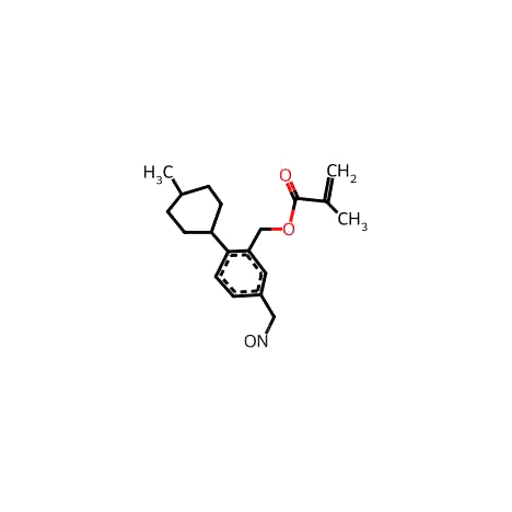 C=C(C)C(=O)OCc1cc(CN=O)ccc1C1CCC(C)CC1